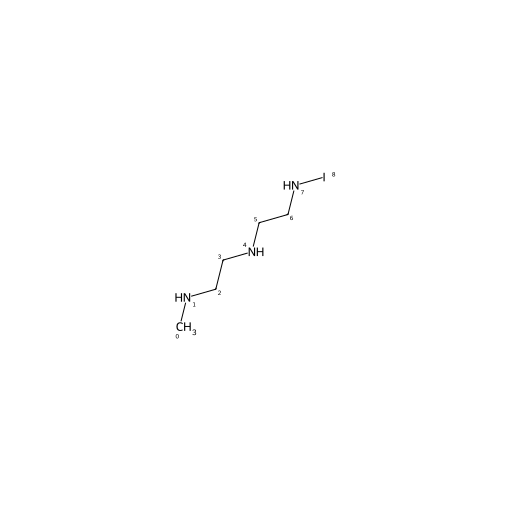 CNCCNCCNI